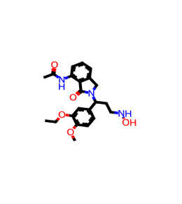 CCOc1cc(C(CCNO)N2Cc3cccc(NC(C)=O)c3C2=O)ccc1OC